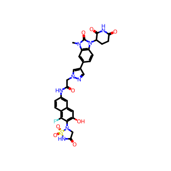 Cn1c(=O)n(C2CCC(=O)NC2=O)c2ccc(-c3cnn(CC(=O)Nc4ccc5c(F)c(N6CC(=O)NS6(=O)=O)c(O)cc5c4)c3)cc21